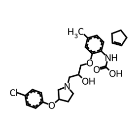 C1=CCCC1.Cc1ccc(NC(=O)O)c(OCC(O)CN2CCC(Oc3ccc(Cl)cc3)C2)c1